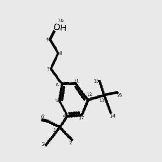 CC(C)(C)c1cc(CCCO)cc(C(C)(C)C)c1